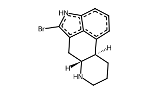 Brc1[nH]c2cccc3c2c1C[C@H]1NCCC[C@H]31